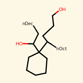 CCCCCCCCCCCC(O)C1(C(CCCO)CCCCCCCC)CCCCC1